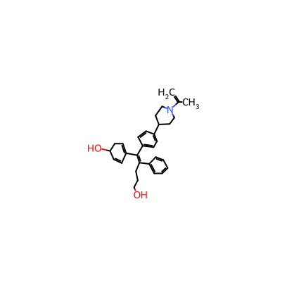 C=C(C)N1CCC(c2ccc(/C(C3=CCC(O)C=C3)=C(/CCCO)c3ccccc3)cc2)CC1